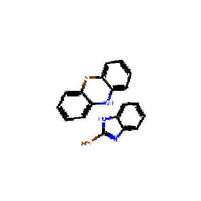 Sc1nc2ccccc2[nH]1.c1ccc2c(c1)Nc1ccccc1S2